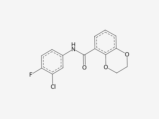 O=C(Nc1ccc(F)c(Cl)c1)c1cccc2c1OCCO2